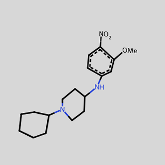 COc1cc(NC2CCN(C3CCCCC3)CC2)ccc1[N+](=O)[O-]